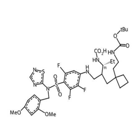 CC[C@@H](NC(=O)O)C(CNc1cc(F)c(S(=O)(=O)N(Cc2ccc(OC)cc2OC)c2ncns2)c(F)c1F)CC1(CCNC(=O)OC(C)(C)C)CCC1